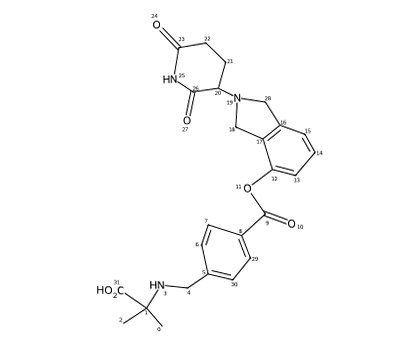 CC(C)(NCc1ccc(C(=O)Oc2cccc3c2CN(C2CCC(=O)NC2=O)C3)cc1)C(=O)O